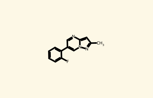 Cc1cc2ncc(-c3ccccc3F)cn2n1